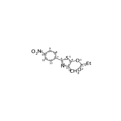 CCC(=O)Oc1sc(-c2ccc([N+](=O)[O-])cc2)nc1C